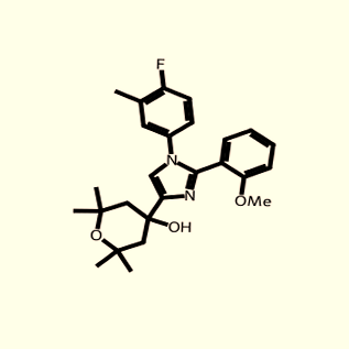 COc1ccccc1-c1nc(C2(O)CC(C)(C)OC(C)(C)C2)cn1-c1ccc(F)c(C)c1